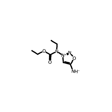 CCOC(=O)N(CC)[n+]1cc([NH-])on1